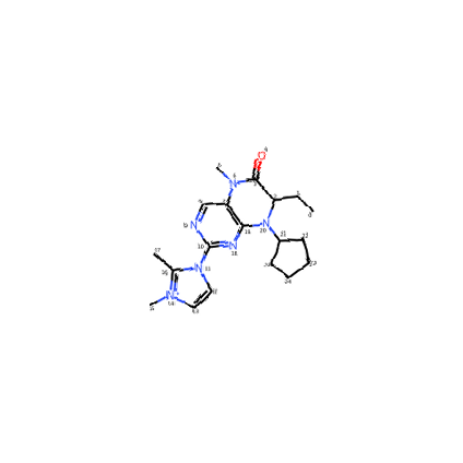 CCC1C(=O)N(C)c2cnc(-n3cc[n+](C)c3C)nc2N1C1CCCC1